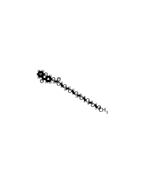 COCCOCCOCCOCCOCCOCCOCCOC(=O)COc1ccc(C(=O)c2ccccc2)c(O)c1